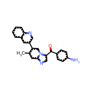 Cc1cc2ncc(C(=O)c3ccc(N)cc3)n2cc1-c1cnc2ccccc2c1